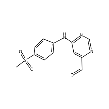 CS(=O)(=O)c1ccc(Nc2cc(C=O)ncn2)cc1